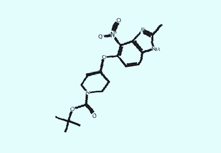 Cc1nc2c([N+](=O)[O-])c(OC3CCN(C(=O)OC(C)(C)C)CC3)ccc2[nH]1